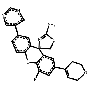 NC1=N[C@@]2(CO1)c1cc(-c3cncnc3)ccc1Oc1c(F)cc(C3=CCOCC3)cc12